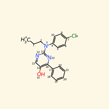 CCCN(c1ccc(Cl)cc1)c1ncc(O)c(-c2ccccc2)n1